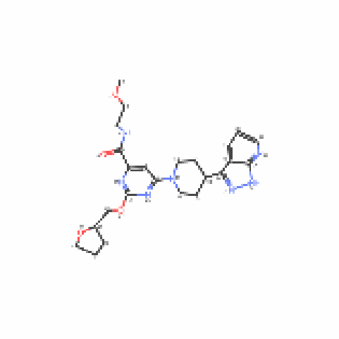 COCCNC(=O)c1cc(N2CCC(c3n[nH]c4ncccc34)CC2)nc(OC[C@H]2CCCO2)n1